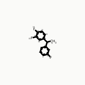 C[C](c1cccc(F)c1)c1ccc(F)c(F)c1